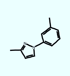 Cc1cccc(-n2[c]cc(C)n2)c1